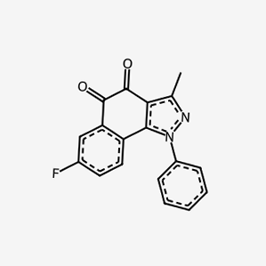 Cc1nn(-c2ccccc2)c2c1C(=O)C(=O)c1cc(F)ccc1-2